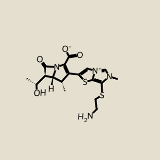 C[C@@H](O)[C@H]1C(=O)N2C(C(=O)[O-])=C(c3c[n+]4cn(C)c(SCCN)c4s3)[C@H](C)[C@H]12